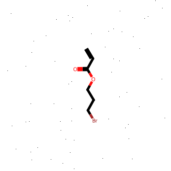 C=CC(=O)OCCCBr